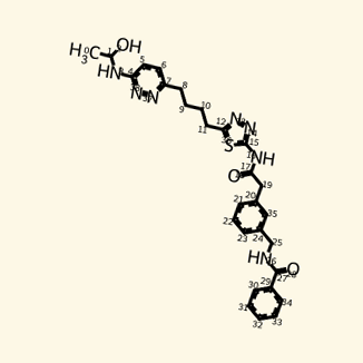 CC(O)Nc1ccc(CCCCc2nnc(NC(=O)Cc3cccc(CNC(=O)c4ccccc4)c3)s2)nn1